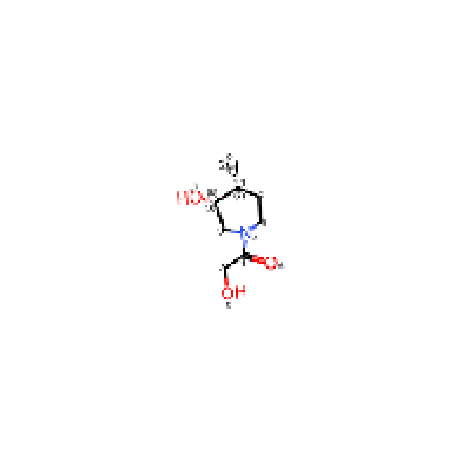 [2H][C@@H]1CCN(C(=O)CO)C[C@@H]1O